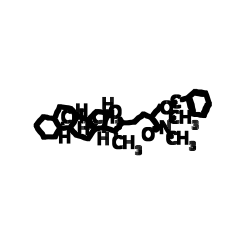 C[C@@H]1C(CCC(COCc2ccccc2)C(=O)N(C)C)O[C@H]2C[C@H]3[C@@H]4CCC5CCCC[C@]5(C)[C@H]4CC[C@]3(C)[C@H]21